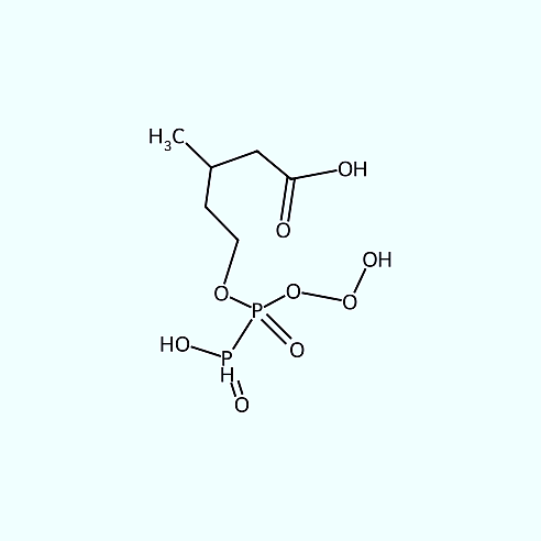 CC(CCOP(=O)(OOO)[PH](=O)O)CC(=O)O